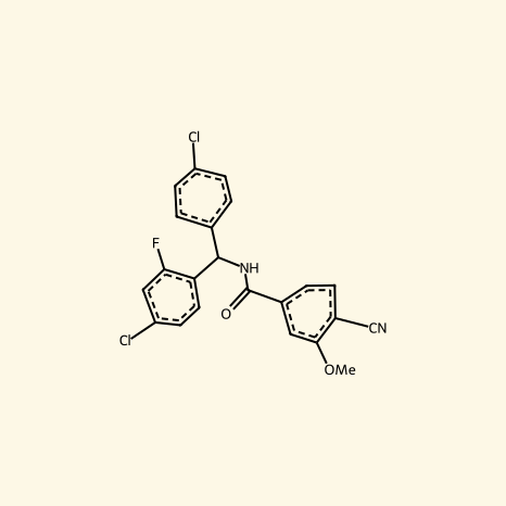 COc1cc(C(=O)NC(c2ccc(Cl)cc2)c2ccc(Cl)cc2F)ccc1C#N